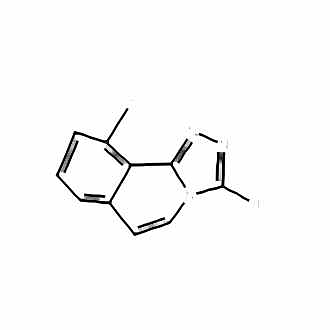 CC(C)(C)c1nnc2c3c(Br)cccc3ccn12